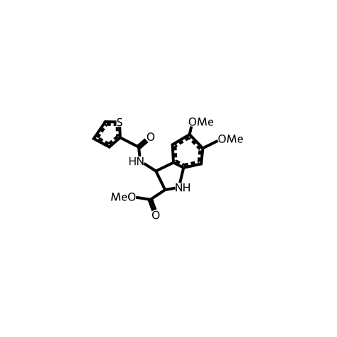 COC(=O)C1Nc2cc(OC)c(OC)cc2C1NC(=O)c1cccs1